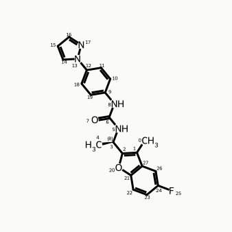 Cc1c([C@@H](C)NC(=O)Nc2ccc(-n3cccn3)cc2)oc2ccc(F)cc12